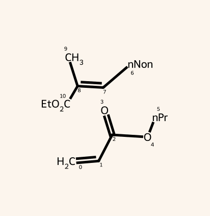 C=CC(=O)OCCC.CCCCCCCCCC=C(C)C(=O)OCC